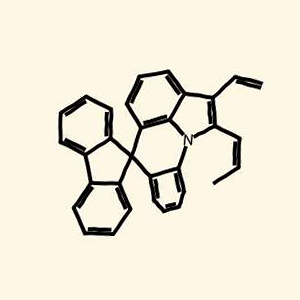 C=Cc1c(/C=C\C)n2c3c(cccc13)C1(c3ccccc3-c3ccccc31)c1ccccc1-2